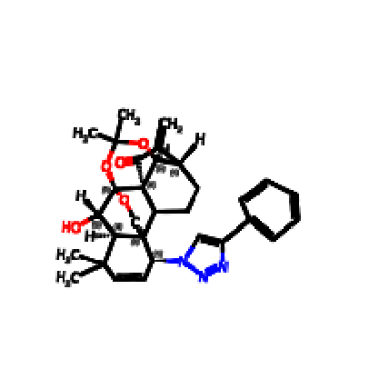 C=C1C(=O)[C@@]23C4CC[C@@H]1[C@H]2OC(C)(C)O[C@]31OC[C@]42[C@@H](n3cc(-c4ccccc4)nn3)C=CC(C)(C)[C@H]2[C@@H]1O